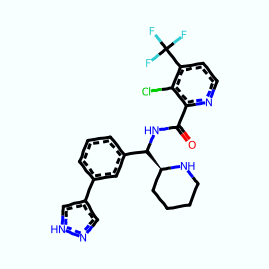 O=C(NC(c1cccc(-c2cn[nH]c2)c1)[C@@H]1CCCCN1)c1nccc(C(F)(F)F)c1Cl